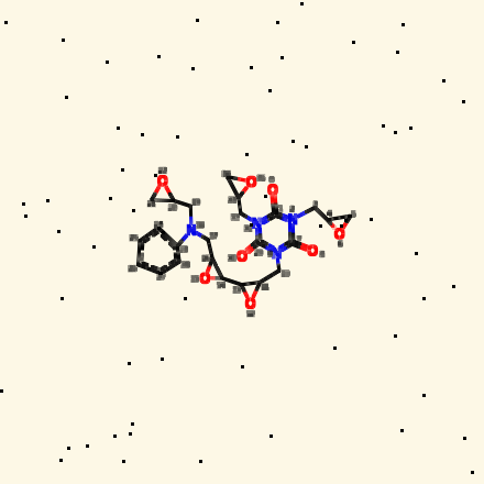 O=c1n(CC2CO2)c(=O)n(CC2OC2C2OC2CN(CC2CO2)c2ccccc2)c(=O)n1CC1CO1